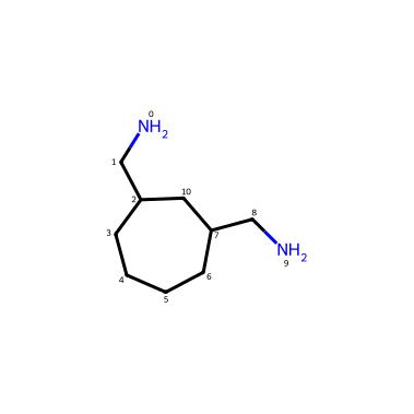 NCC1CCCCC(CN)C1